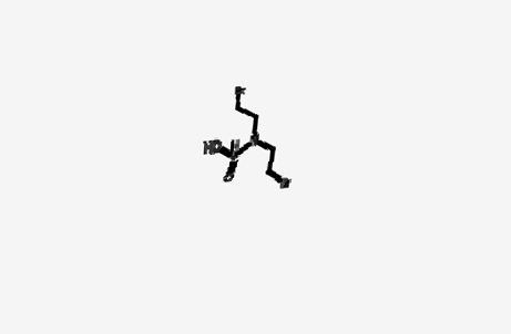 O=[PH](O)N(CCBr)CCBr